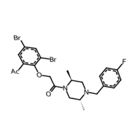 CC(=O)c1cc(Br)cc(Br)c1OCC(=O)N1C[C@@H](C)N(Cc2ccc(F)cc2)C[C@@H]1C